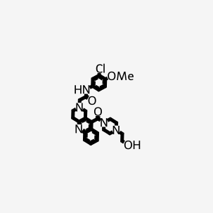 COc1ccc(NC(=O)CN2CCc3nc4ccccc4c(C(=O)N4CCN(CCO)CC4)c3C2)cc1Cl